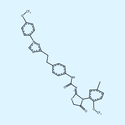 Cc1ccc(OC(F)(F)F)c(N2C(=O)CS/C2=N\C(=O)Nc2ccc(CCc3ncn(-c4ccc(OC(F)(F)F)cc4)n3)cc2)c1